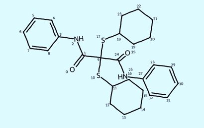 O=C(Nc1ccccc1)C(SC1CCCCC1)(SC1CCCCC1)C(=O)Nc1ccccc1